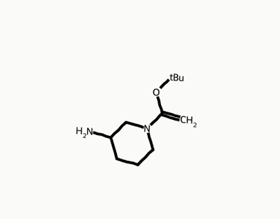 C=C(OC(C)(C)C)N1CCCC(N)C1